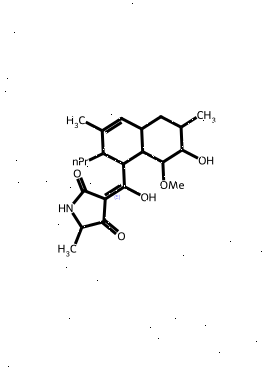 CCCC1C(C)=CC2CC(C)C(O)C(OC)C2C1/C(O)=C1\C(=O)NC(C)C1=O